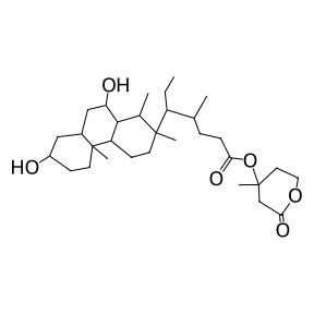 CCC(C(C)CCC(=O)OC1(C)CCOC(=O)C1)C1(C)CCC2C(C(O)CC3CC(O)CCC32C)C1C